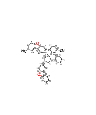 N#Cc1ccc2oc3ccc(-c4cc(-c5ccc6oc7ccccc7c6c5)cc(-c5ccccc5-c5ccccc5C#N)c4)cc3c2c1